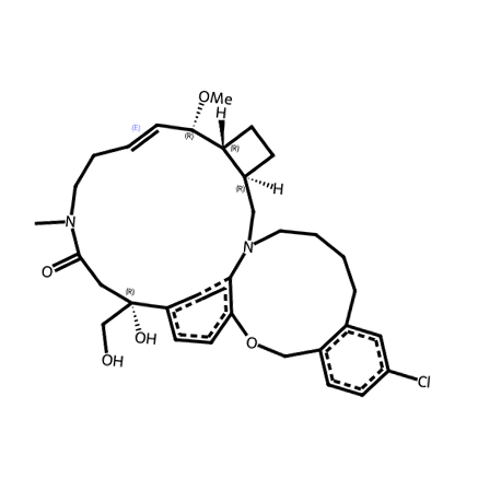 CO[C@H]1/C=C/CCN(C)C(=O)C[C@](O)(CO)c2ccc3c(c2)N(CCCCc2cc(Cl)ccc2CO3)C[C@@H]2CC[C@H]21